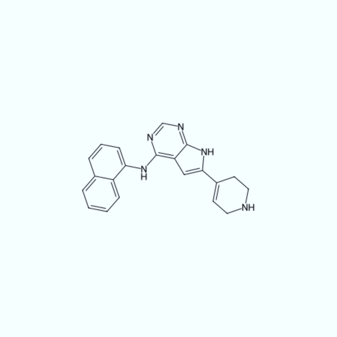 C1=C(c2cc3c(Nc4cccc5ccccc45)ncnc3[nH]2)CCNC1